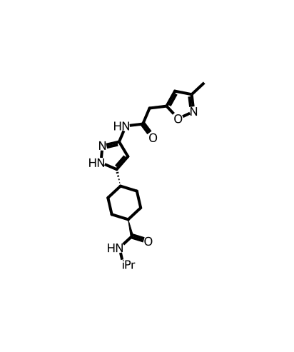 Cc1cc(CC(=O)Nc2cc([C@H]3CC[C@H](C(=O)NC(C)C)CC3)[nH]n2)on1